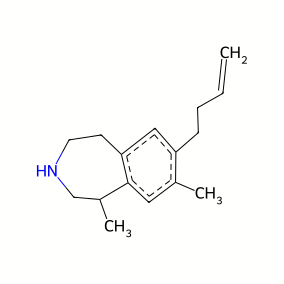 C=CCCc1cc2c(cc1C)C(C)CNCC2